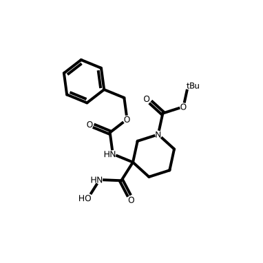 CC(C)(C)OC(=O)N1CCCC(NC(=O)OCc2ccccc2)(C(=O)NO)C1